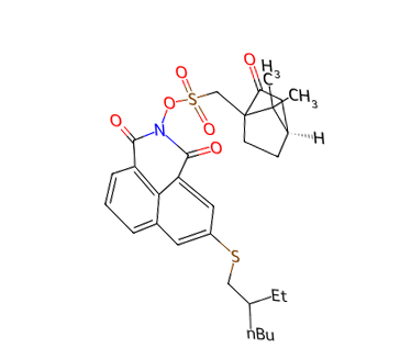 CCCCC(CC)CSc1cc2c3c(cccc3c1)C(=O)N(OS(=O)(=O)CC13CC[C@H](CC1=O)C3(C)C)C2=O